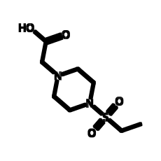 CCS(=O)(=O)N1CCN(CC(=O)O)CC1